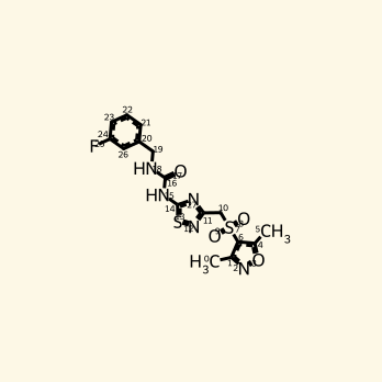 Cc1noc(C)c1S(=O)(=O)Cc1nsc(NC(=O)NCc2cccc(F)c2)n1